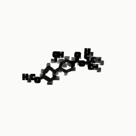 COc1ccc(C2CCN(C(=O)OC(C)(C)C)C[C@H]2CO)cc1